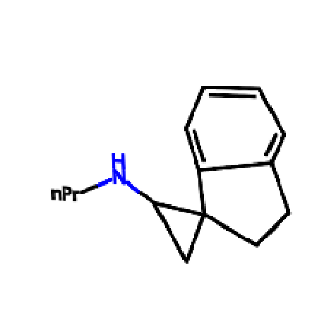 CCCNC1CC12CCc1ccccc12